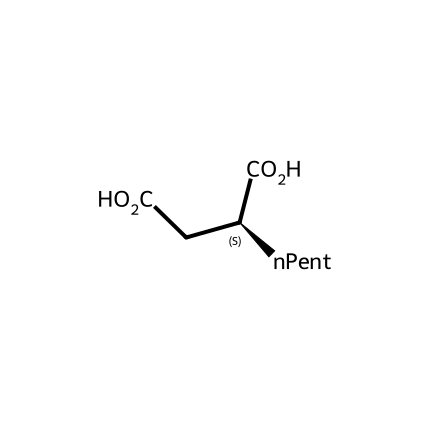 CCCCC[C@@H](CC(=O)O)C(=O)O